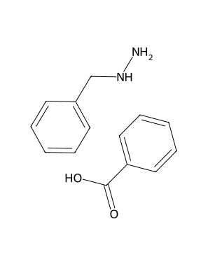 NNCc1ccccc1.O=C(O)c1ccccc1